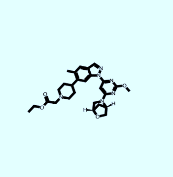 CCOC(=O)CN1CCC(c2cc3c(cnn3-c3cc(N4C[C@@H]5C[C@H]4CO5)nc(OC)n3)cc2C)CC1